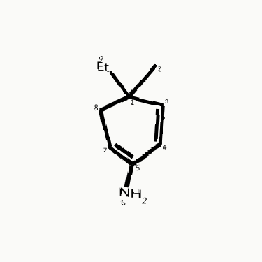 CCC1(C)C=CC(N)=CC1